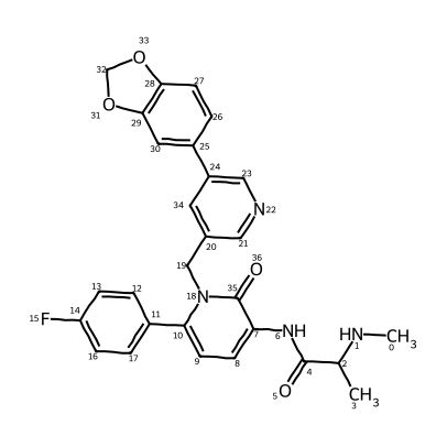 CNC(C)C(=O)Nc1ccc(-c2ccc(F)cc2)n(Cc2cncc(-c3ccc4c(c3)OCO4)c2)c1=O